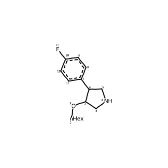 CCCCCCOC1CNCC1c1ccc(F)cc1